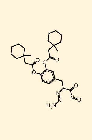 CC1(CC(=O)Oc2ccc(C[C@H](N=NN)C(=O)N=O)cc2OC(=O)CC2(C)CCCCC2)CCCCC1